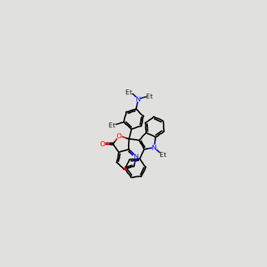 CCc1cc(N(CC)CC)ccc1C1(c2c(-c3ccccc3)n(CC)c3ccccc23)OC(=O)c2cccnc21